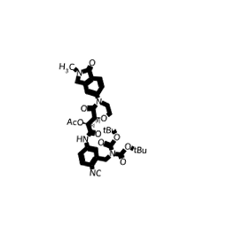 [C-]#[N+]c1ccc(NC(=O)[C@H](OC(C)=O)[C@H]2OCCN(c3ccc4c(c3)CN(C)C4=O)C2=O)cc1CN(C(=O)OC(C)(C)C)C(=O)OC(C)(C)C